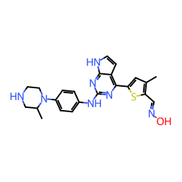 Cc1cc(-c2nc(Nc3ccc(N4CCNCC4C)cc3)nc3[nH]ccc23)sc1/C=N/O